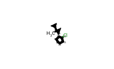 CC1(C2CC2)C[C@@H]1c1ccccc1Cl